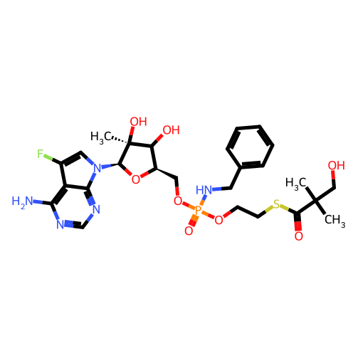 CC(C)(CO)C(=O)SCCOP(=O)(NCc1ccccc1)OC[C@H]1O[C@@H](n2cc(F)c3c(N)ncnc32)[C@@](C)(O)C1O